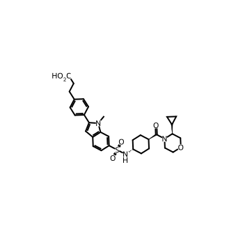 Cn1c(-c2ccc(CCC(=O)O)cc2)cc2ccc(S(=O)(=O)N[C@H]3CC[C@H](C(=O)N4CCOC[C@@H]4C4CC4)CC3)cc21